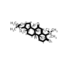 C[C@]12CCC(=O)C([Si](C)(C)C)C1=CC(=O)[C@@H]1[C@H]2CC[C@]2(C)C(O[Si](C)(C)C)CC[C@@H]12